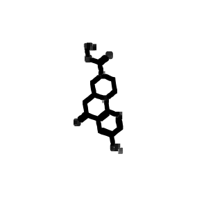 CC(C)(C)OC(=O)N1CCN2c3ncc(C(F)(F)F)cc3C(=O)CC2C1